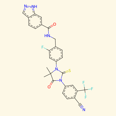 CC1(C)C(=O)N(c2ccc(C#N)c(C(F)(F)F)c2)C(=S)N1c1ccc(CNC(=O)c2ccc3cn[nH]c3c2)c(F)c1